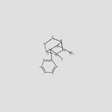 CC1(c2ccccc2)C(N)C2CCN1CC2